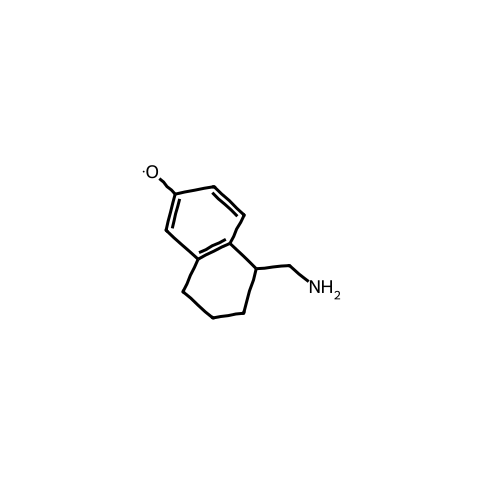 NCC1CCCc2cc([O])ccc21